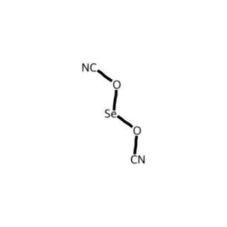 N#CO[Se]OC#N